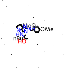 CCCC[C@@](C)(Nc1nc(NCc2ccc(OC)cc2OC)nc2cccnc12)C(C)O